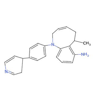 CC1C/C=C\CN(c2ccc(C3C=CN=CC3)cc2)c2cccc(N)c21